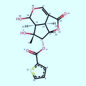 C[C@]1(O)[C@@H](OC(=O)c2cccs2)[C@H]2OC(=O)C3=COC(O)[C@H]1[C@@H]32